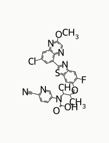 COc1cnc2c(-c3nc4cc(F)c(OC(C)C(C)N(C(=O)O)c5ccc(C#N)nc5)cc4s3)cc(Cl)cc2n1